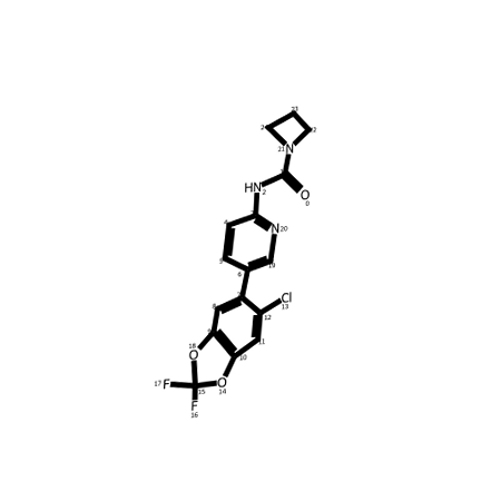 O=C(Nc1ccc(-c2cc3c(cc2Cl)OC(F)(F)O3)cn1)N1CCC1